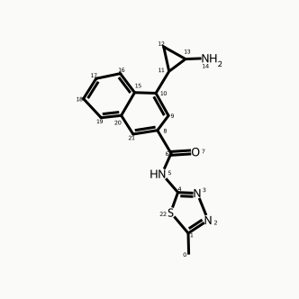 Cc1nnc(NC(=O)c2cc(C3CC3N)c3ccccc3c2)s1